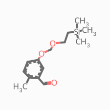 Cc1ccc(OCOCC[Si](C)(C)C)cc1C=O